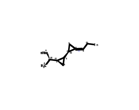 CCCCCC[C@@H](C)[C@@H]1CC1[C@H]1C/C1=C\CI